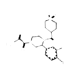 CC(=O)C(=O)N1CCN(C(=O)C2CCS(=O)(=O)CC2)C(c2ccc(F)c(F)c2)C1